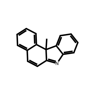 CC12C(=Nc3ccccc31)C=Cc1ccccc12